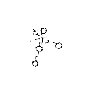 NCC(=O)[N+](C(=O)[C@H](Cc1ccc(OCc2ccccc2)cc1)NC(=O)OCc1ccccc1)(c1ccccc1)c1n[nH]c(=S)s1